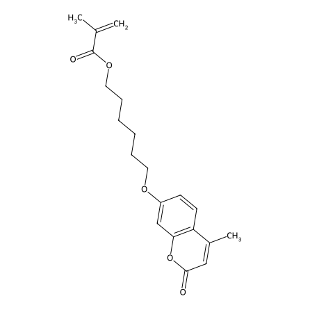 C=C(C)C(=O)OCCCCCCOc1ccc2c(C)cc(=O)oc2c1